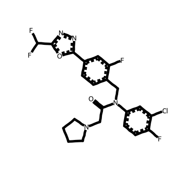 O=C(CN1CCCC1)N(Cc1ccc(-c2nnc(C(F)F)o2)cc1F)c1ccc(F)c(Cl)c1